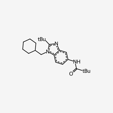 CC(C)(C)C(=O)Nc1ccc2c(c1)nc(C(C)(C)C)n2CC1CCCCC1